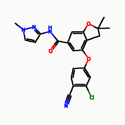 Cn1ccc(NC(=O)c2cc(Oc3ccc(C#N)c(Cl)c3)c3c(c2)OC(C)(C)C3)n1